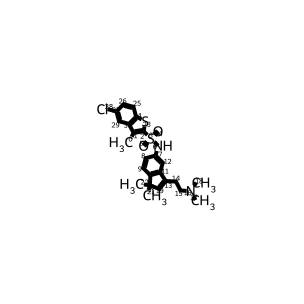 Cc1c(S(=O)(=O)Nc2ccc3c(c2)C(CCN(C)C)=CC3(C)C)sc2ccc(Cl)cc12